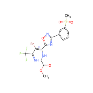 COC(=O)CN/C(=C(/Br)C(=N)C(F)(F)F)c1nc(-c2cccc(S(C)(=O)=O)c2)no1